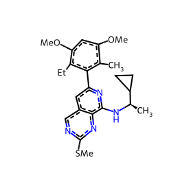 CCc1c(OC)cc(OC)c(C)c1-c1cc2cnc(SC)nc2c(N[C@H](C)C2CC2)n1